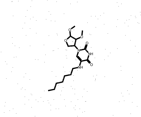 CCCCCCCNc1cn(C2COC(OC)C2OC)c(=O)[nH]c1=O